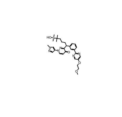 COCCOc1cnc(-c2cccc(C(CCCC(C)(C)[Si](C)(C)O)c3nn(-c4cnn(C)c4)ccc3=O)c2)nc1